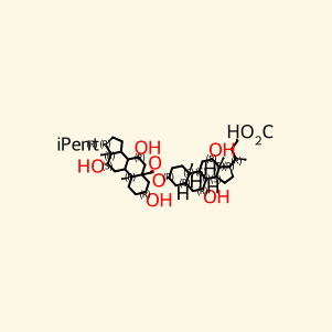 CCC[C@@H](C)[C@H]1CCC2C3C(C[C@H](O)[C@@]21C)[C@@]1(C)CC[C@@H](O)CC1(C(=O)O[C@@H]1CC[C@@]2(C)[C@@H](C1)C[C@@H](O)[C@@H]1[C@@H]2C[C@H](O)[C@]2(C)[C@@H]([C@H](C)CCC(=O)O)CC[C@@H]12)C[C@H]3O